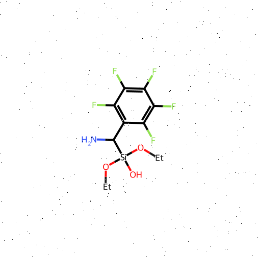 CCO[Si](O)(OCC)C(N)c1c(F)c(F)c(F)c(F)c1F